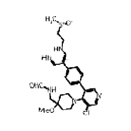 COC1(CNC=O)CCN(c2c(Cl)cncc2-c2ccc(/C(C=N)=C/NCC[S+](C)[O-])cc2)CC1